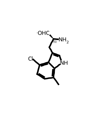 Cc1ccc(Cl)c2c(C[C@H](N)[C]=O)c[nH]c12